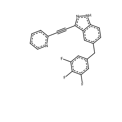 Fc1cc(Cc2ccc3[nH]nc(C#Cc4ccccn4)c3c2)cc(F)c1F